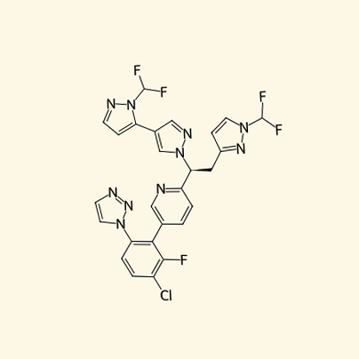 Fc1c(Cl)ccc(-n2ccnn2)c1-c1ccc([C@H](Cc2ccn(C(F)F)n2)n2cc(-c3ccnn3C(F)F)cn2)nc1